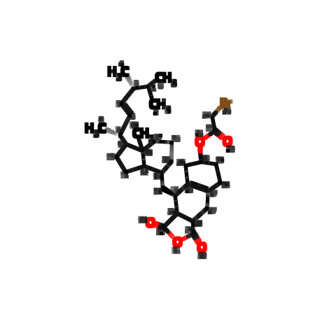 CC(C)[C@@H](C)/C=C/[C@@H](C)C1CCC2C(C[C@H]3C4=C(CC[C@H](OC(=O)CBr)C4)CC4C(=O)OC(=O)C43)CCCC21C